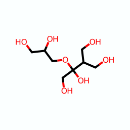 OCC(O)COC(O)(CO)C(CO)CO